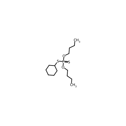 CCCCOP(=S)(OCCCC)SC1CCCCC1